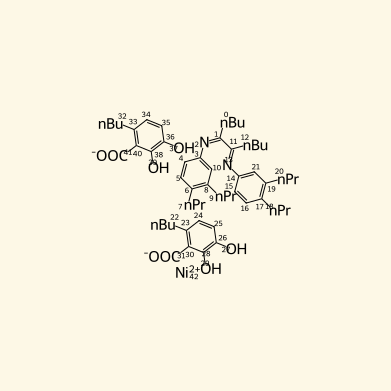 CCCCC(=Nc1ccc(CCC)c(CCC)c1)C(CCCC)=Nc1ccc(CCC)c(CCC)c1.CCCCc1ccc(O)c(O)c1C(=O)[O-].CCCCc1ccc(O)c(O)c1C(=O)[O-].[Ni+2]